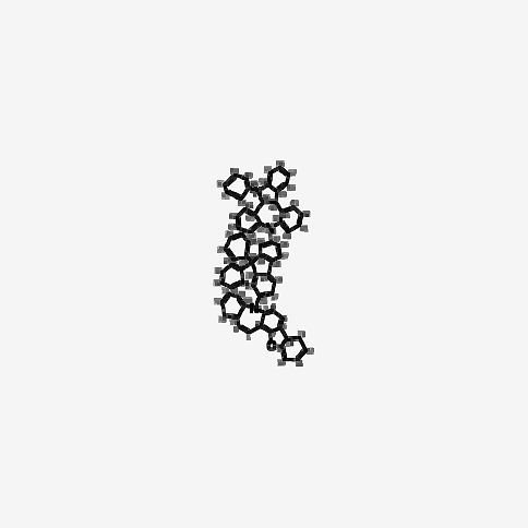 C1=Cc2c(ccc3c2oc2ccccc23)N(c2ccc3c(c2)C(c2ccccc2)(c2ccccc2)c2cc(N4c5ccccc5-c5c(n(-c6ccccc6)c6ccccc56)-c5ccccc54)ccc2-3)c2ccccc21